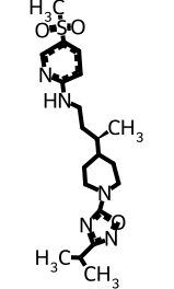 CC(C)c1noc(N2CCC([C@H](C)CCNc3ccc(S(C)(=O)=O)cn3)CC2)n1